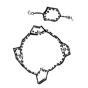 C1=Cc2cc3ccc(cc4nc(cc5ccc(cc1n2)[nH]5)C=C4)[nH]3.Nc1cc[c]([Co])cc1